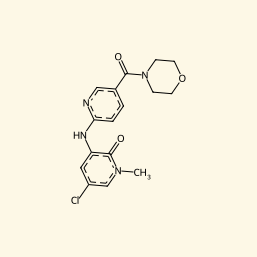 Cn1cc(Cl)cc(Nc2ccc(C(=O)N3CCOCC3)cn2)c1=O